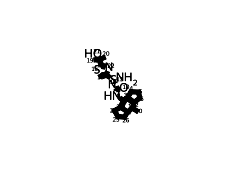 CC1C2=C(CCC2)C(NC(=O)/N=S(\N)c2csc(C(C)(C)O)n2)=C2CCCC21